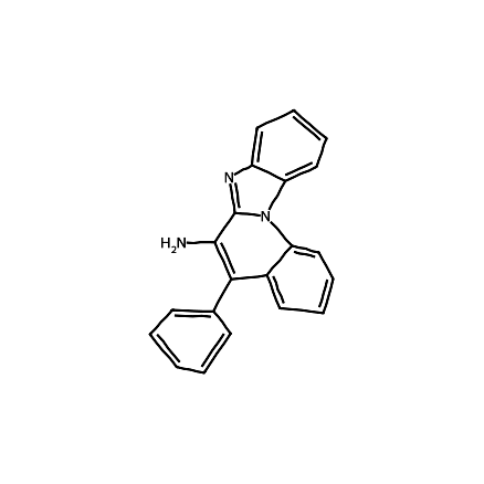 Nc1c(-c2ccccc2)c2ccccc2n2c1nc1ccccc12